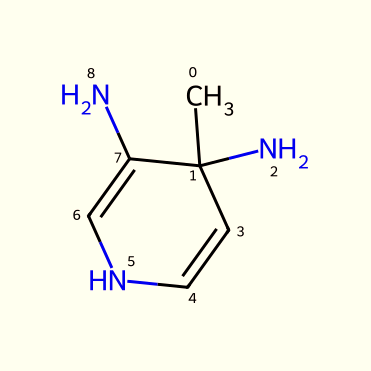 CC1(N)C=CNC=C1N